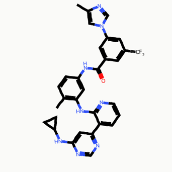 Cc1cn(-c2cc(C(=O)Nc3ccc(C)c(Nc4ncccc4-c4cc(NC5CC5)ncn4)c3)cc(C(F)(F)F)c2)cn1